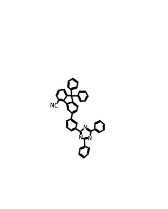 N#Cc1cccc2c1-c1cc(-c3cccc(-c4nc(-c5ccccc5)nc(-c5ccccc5)n4)c3)ccc1C2(c1ccccc1)c1ccccc1